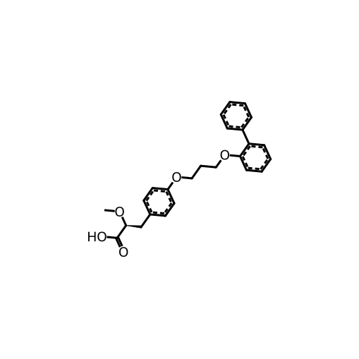 CO[C@@H](Cc1ccc(OCCCOc2ccccc2-c2ccccc2)cc1)C(=O)O